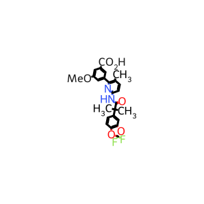 COc1cc(C(=O)O)cc(-c2nc(NC(=O)C(C)(C)c3ccc4c(c3)OC(F)(F)O4)ccc2C)c1